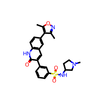 Cc1noc(C)c1-c1ccc2[nH]c(=O)c(-c3cccc(S(=O)(=O)NC4CCN(C)C4)c3)cc2c1